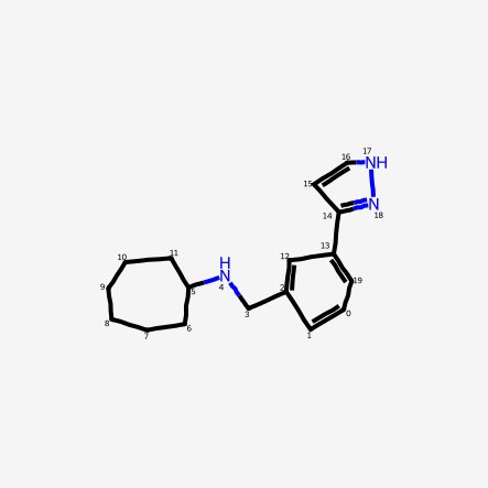 c1cc(CNC2CCCCCC2)cc(-c2cc[nH]n2)c1